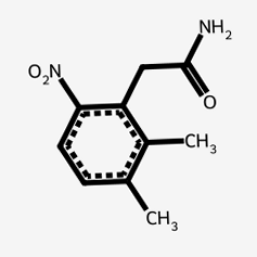 Cc1ccc([N+](=O)[O-])c(CC(N)=O)c1C